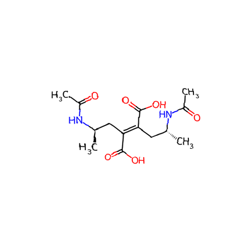 CC(=O)N[C@H](C)CC(C(=O)O)=C(C[C@@H](C)NC(C)=O)C(=O)O